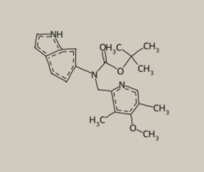 COc1c(C)cnc(CN(C(=O)OC(C)(C)C)c2ccc3cc[nH]c3c2)c1C